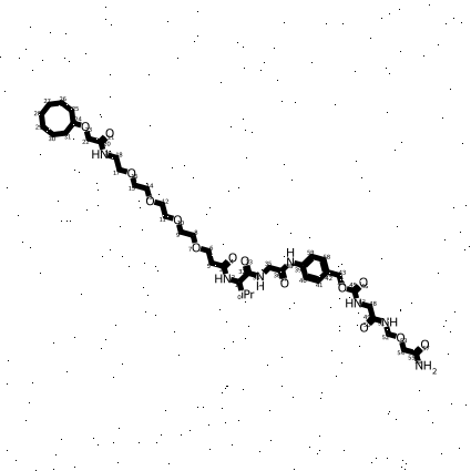 CC(C)C(NC(=O)CCOCCOCCOCCOCCNC(=O)COC1CCCCCCC1)C(=O)NCC(=O)Nc1ccc(COC(=O)NCC(=O)NCOCC(N)=O)cc1